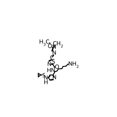 C=N/C(=C\N=C/Cc1cnc(C(=O)NC(CCCCCCN)c2cc(NSC3CC3)ccn2)s1)OCC